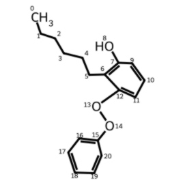 CCCCCCc1c(O)cccc1OOc1ccccc1